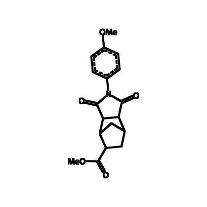 COC(=O)C1CC2CC1C1C(=O)N(c3ccc(OC)cc3)C(=O)C21